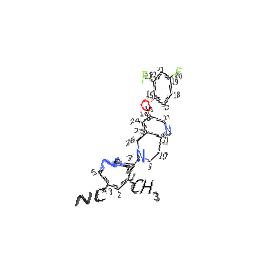 Cc1cc(C#N)cnc1N1CCc2ncc(Oc3ccc(F)cc3F)cc2C1